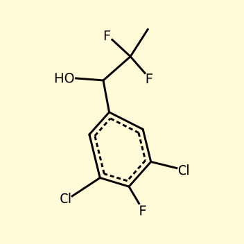 CC(F)(F)C(O)c1cc(Cl)c(F)c(Cl)c1